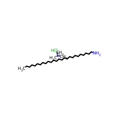 CCCCCCCCCCCCCCCCCCCCCCCCCCN.CN(C)C.Cl